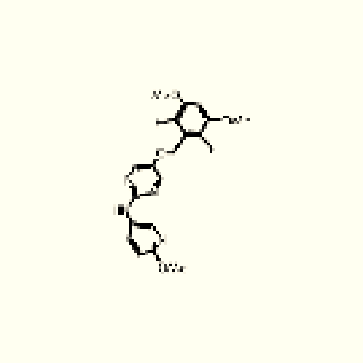 COc1ccc(Nc2ncc(OCc3c(F)c(OC)cc(OC)c3F)cn2)cn1